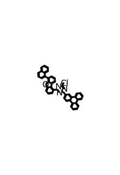 Clc1nc(-c2ccc3c4ccccc4c4ccccc4c3c2)nc(-c2cccc3oc4c(-c5cccc6ccccc56)cccc4c23)n1